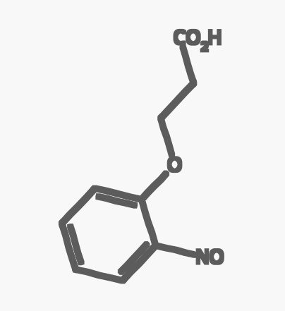 O=Nc1ccccc1OCCC(=O)O